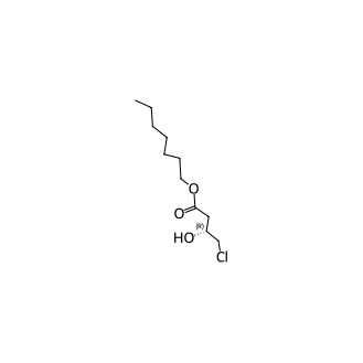 CCCCCCCOC(=O)C[C@@H](O)CCl